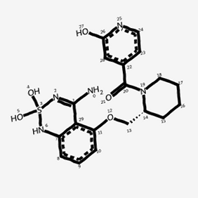 NC1=NS(O)(O)Nc2cccc(OC[C@H]3CCCCN3C(=O)c3ccnc(O)c3)c21